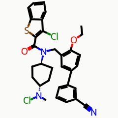 CCOc1ccc(-c2cccc(C#N)c2)cc1CN(C(=O)c1sc2ccccc2c1Cl)[C@H]1CC[C@H](N(C)Cl)CC1